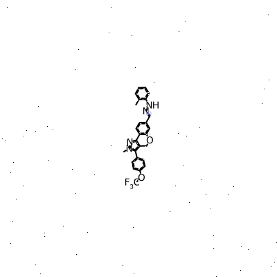 Cc1ccccc1N/N=C/c1ccc2c(c1)OCc1c-2nn(C)c1-c1ccc(OC(F)(F)F)cc1